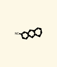 N#Cc1ccc2cc3cc[c]cc3cc2c1